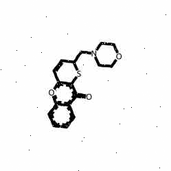 O=c1c2c(oc3ccccc13)C=CC(CN1CCOCC1)S2